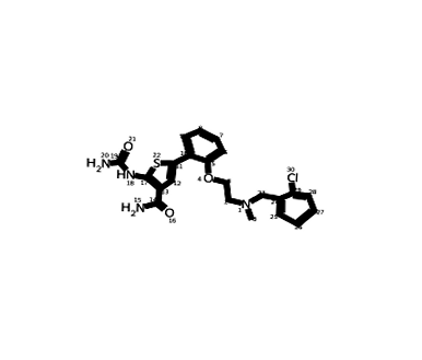 CN(CCOc1ccccc1-c1cc(C(N)=O)c(NC(N)=O)s1)Cc1ccccc1Cl